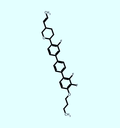 C/C=C/C1CCC(c2ccc(-c3ccc(-c4ccc(OCCCC)c(F)c4F)cc3)cc2F)OC1